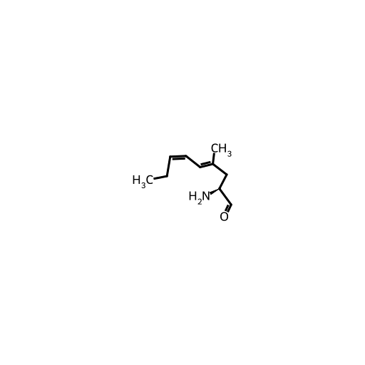 CC/C=C\C=C(/C)C[C@H](N)C=O